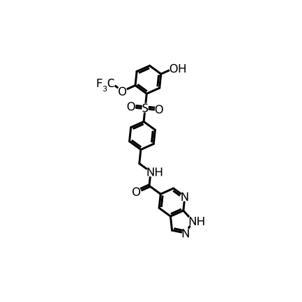 O=C(NCc1ccc(S(=O)(=O)c2cc(O)ccc2OC(F)(F)F)cc1)c1cnc2[nH]ncc2c1